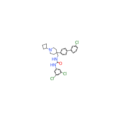 O=C(NCC1(c2ccc(-c3cccc(Cl)c3)cc2)CCN(C2CCC2)CC1)Nc1cc(Cl)cc(Cl)c1